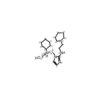 Cn1ccnc1NCCN1CCCCC1.O=S(=O)(O)NC1CCCCC1